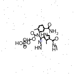 CCNC(=O)c1c[nH]c(/C(=N\C=N)N(C(=O)OCOP(=O)(O)O)c2cc(C(N)=O)ccc2C)c1C